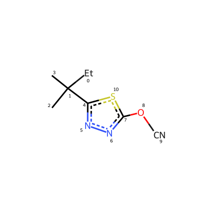 CCC(C)(C)c1nnc(OC#N)s1